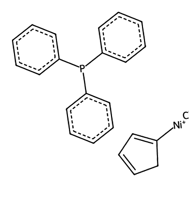 [Cl-].[Ni+][C]1=CC=CC1.c1ccc(P(c2ccccc2)c2ccccc2)cc1